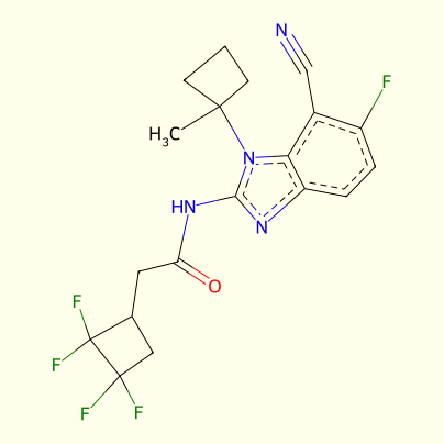 CC1(n2c(NC(=O)CC3CC(F)(F)C3(F)F)nc3ccc(F)c(C#N)c32)CCC1